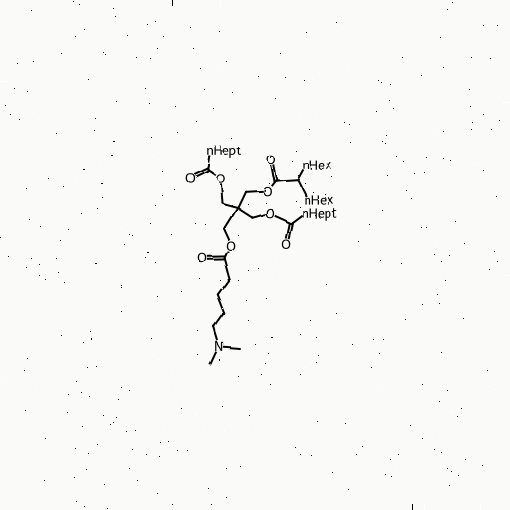 CCCCCCCC(=O)OCC(COC(=O)CCCCCCC)(COC(=O)CCCCN(C)C)COC(=O)C(CCCCCC)CCCCCC